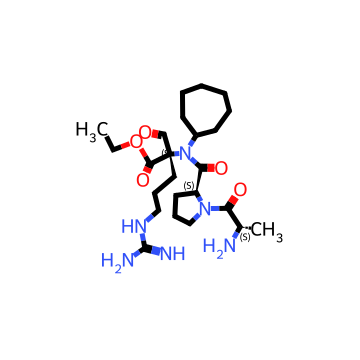 CCOC(=O)[C@@](C=O)(CCCNC(=N)N)N(C(=O)[C@@H]1CCCN1C(=O)[C@H](C)N)C1CCCCCC1